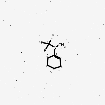 CN(C1=CCCCC1)C(F)(F)F